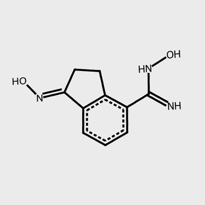 N=C(NO)c1cccc2c1CCC2=NO